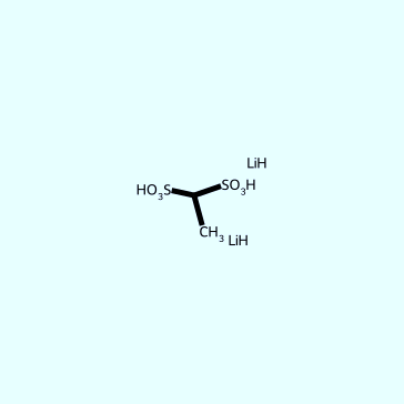 CC(S(=O)(=O)O)S(=O)(=O)O.[LiH].[LiH]